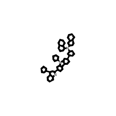 c1ccc(-c2cc(-c3ccc4c5ccc(-c6cccc(N(c7ccc8ccccc8c7)c7cccc8ccccc78)c6)cc5n(-c5ccccc5)c4c3)nc3ccccc23)cc1